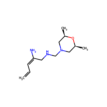 C=C/C=C(/N)CNCN1C[C@@H](C)O[C@@H](C)C1